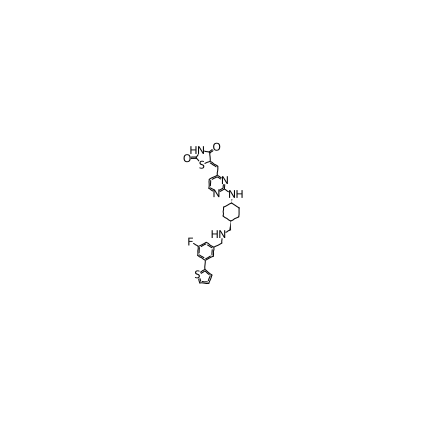 O=C1NC(=O)/C(=C/c2ccnc(N[C@H]3CC[C@H](CNCc4cc(F)cc(-c5cccs5)c4)CC3)n2)S1